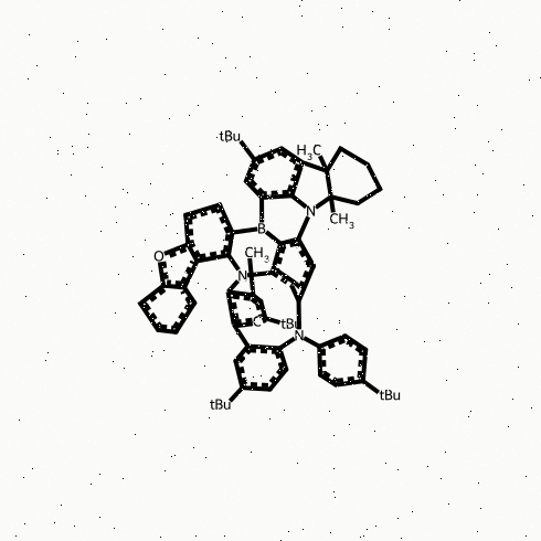 Cc1cc(C(C)(C)C)cc2c1N1c3cc(cc4c3B(c3cc(C(C)(C)C)cc5c3N4C3(C)CCCCC53C)c3ccc4oc5ccccc5c4c31)N(c1ccc(C(C)(C)C)cc1)c1ccc(C(C)(C)C)cc1-2